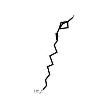 O=C(O)CCCCCCCC/C=C/C12CC(F)(C1)C2